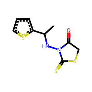 CC(NN1C(=O)CSC1=S)c1cccs1